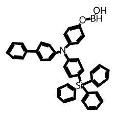 OBOc1ccc(N(c2ccc(-c3ccccc3)cc2)c2ccc([Si](c3ccccc3)(c3ccccc3)c3ccccc3)cc2)cc1